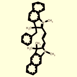 CN1/C(=C/C=C/C2=[N+](C)c3c(ccc4ccccc34)C2(C)Cc2ccccc2)C(C)(C)c2cc3ccccc3cc21